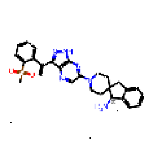 C=C(c1ccccc1S(C)(=O)=O)c1n[nH]c2nc(N3CCC4(CC3)Cc3ccccc3[C@H]4N)cnc12